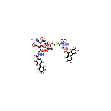 COC(=O)[C@@]1(OCCCSCC(NC(=O)OCC2c3ccccc3-c3ccccc32)C(=O)O)C[C@@H](O)C(N(N)C(C)=O)C([C@H](O)[C@H](O)CNC(=O)c2ccc(-c3ccccc3)cc2)O1